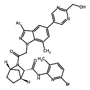 CC(=O)c1nn(CC(=O)N2[C@H]3CC[C@H](C3)[C@H]2C(=O)Nc2nc(Br)ccc2C)c2c(C)cc(-c3cnc(CO)nc3)cc12